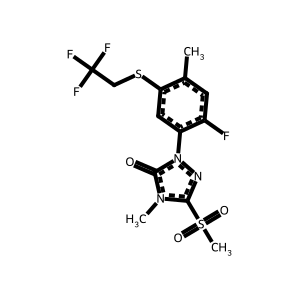 Cc1cc(F)c(-n2nc(S(C)(=O)=O)n(C)c2=O)cc1SCC(F)(F)F